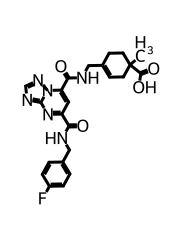 CC1(C(=O)O)CC=C(CNC(=O)c2cc(C(=O)NCc3ccc(F)cc3)nc3ncnn23)CC1